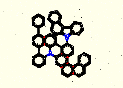 c1ccc(-c2ccc(-c3ccccc3N(c3ccc(-c4cccc5ccccc45)cc3)c3ccccc3-c3cc(-c4ccccc4)ccc3-n3c4ccccc4c4c5ccccc5ccc43)cc2)cc1